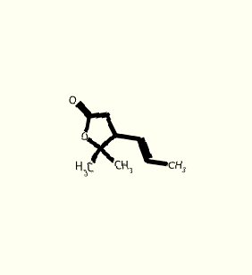 CC=CC1CC(=O)OC1(C)C